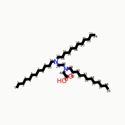 CCCCCCCCCCCCN(CCCCCCCCCCCC)CCN(CCCCCCCCCCCC)CC(=O)O